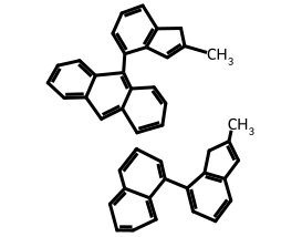 CC1=Cc2c(cccc2-c2c3ccccc3cc3ccccc23)C1.CC1=Cc2cccc(-c3cccc4ccccc34)c2C1